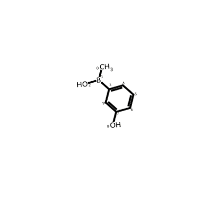 CB(O)c1cccc(O)c1